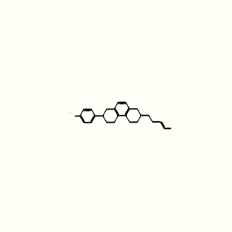 CC=CCCC1CCc2c(ccc3c2CCC(c2ccc(OC(F)(F)F)cc2)C3)C1